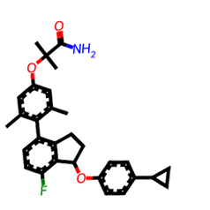 Cc1cc(OC(C)(C)C(N)=O)cc(C)c1-c1ccc(F)c2c1CCC2Oc1ccc(C2CC2)cc1